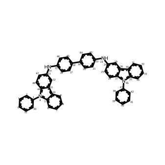 c1ccc(-n2c3ccccc3c3cc(Nc4ccc(-c5ccc(Nc6ccc7c(c6)c6ccccc6n7-c6ccccc6)cc5)cc4)ccc32)cc1